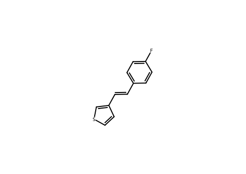 Fc1ccc(/C=C/c2ccsc2)cc1